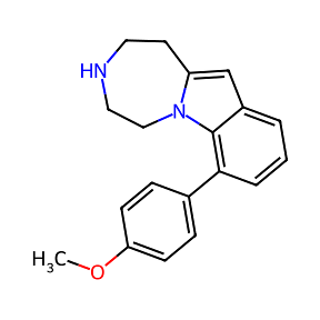 COc1ccc(-c2cccc3cc4n(c23)CCNCC4)cc1